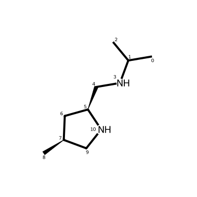 CC(C)NC[C@@H]1C[C@H](C)CN1